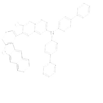 c1ccc(-c2ccc(N(c3ccc(-c4ccccc4)cc3)c3ccc4cc5oc6ccc7oc8cc9ccccc9cc8c7c6c5cc4c3)cc2)cc1